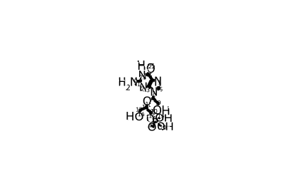 Nc1nc2c(ncn2C(CO)OC(CO)COP(=O)(O)O)c(=O)[nH]1